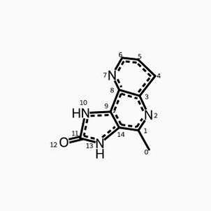 Cc1nc2cccnc2c2[nH]c(=O)[nH]c12